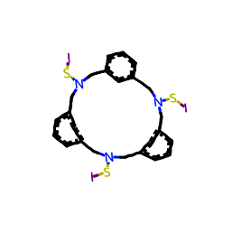 ISN1Cc2cccc(c2)CN(SI)Cc2cccc(c2)CN(SI)Cc2cccc(c2)C1